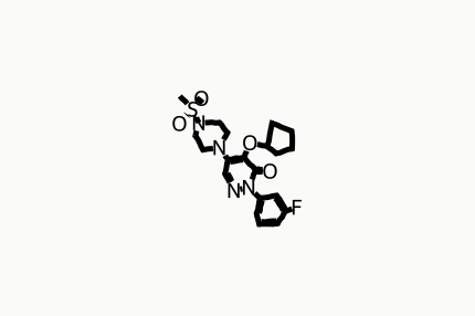 CS(=O)(=O)N1CCN(c2cnn(-c3cccc(F)c3)c(=O)c2OC2CCCC2)CC1